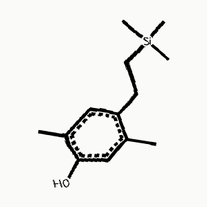 Cc1cc(CC[Si](C)(C)C)c(C)cc1O